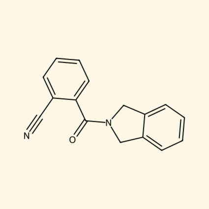 N#Cc1ccccc1C(=O)N1Cc2ccccc2C1